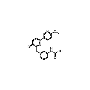 COc1ccc(-n2ccc(=O)c(Cc3cccc(NC(=O)O)c3)n2)cn1